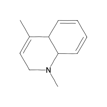 CC1=CCN(C)C2C=CC=CC12